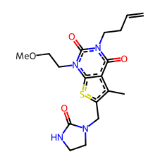 C=CCCn1c(=O)c2c(C)c(CN3CCNC3=O)sc2n(CCOC)c1=O